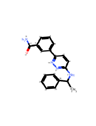 CC(Nc1ccc(-c2cccc(C(N)=O)c2)nn1)c1ccccc1